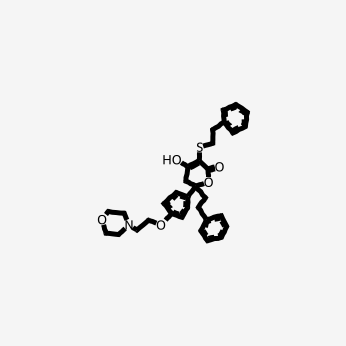 O=C1OC(CCc2ccccc2)(c2ccc(OCCN3CCOCC3)cc2)CC(O)=C1SCCc1ccccc1